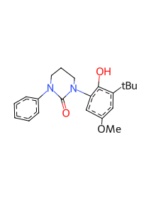 COc1cc(N2CCCN(c3ccccc3)C2=O)c(O)c(C(C)(C)C)c1